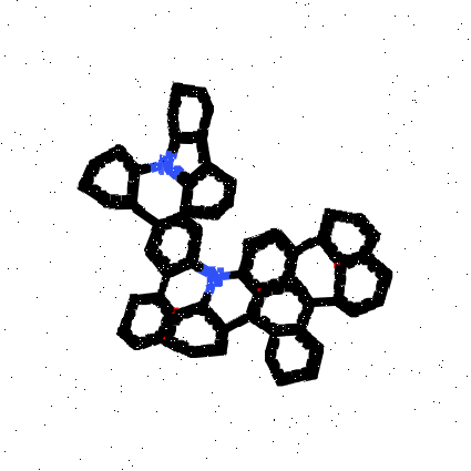 c1ccc(-c2ccc(N(c3ccc(-c4ccccc4-n4c5ccccc5c5ccccc54)cc3-c3ccccc3)c3ccccc3-c3ccc(-c4ccccc4)c4ccccc34)cc2)cc1